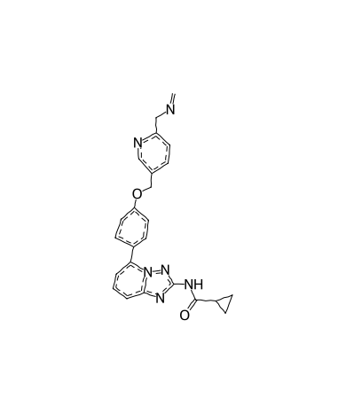 C=NCc1ccc(COc2ccc(-c3cccc4nc(NC(=O)C5CC5)nn34)cc2)cn1